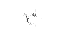 CC(C)c1ccc(CS(=O)(=O)c2cc(-c3cnc(NN)nc3)cc(N3CCOCC3)c2)cc1